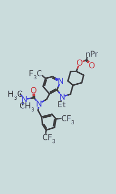 CCCC(=O)OC1CCC(CN(CC)c2ncc(C(F)(F)F)cc2CN(Cc2cc(C(F)(F)F)cc(C(F)(F)F)c2)C(=O)N(C)C)CC1